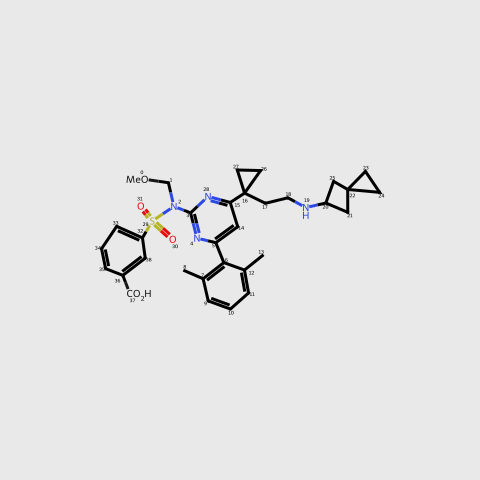 COCN(c1nc(-c2c(C)cccc2C)cc(C2(CCNC3CC4(CC4)C3)CC2)n1)S(=O)(=O)c1cccc(C(=O)O)c1